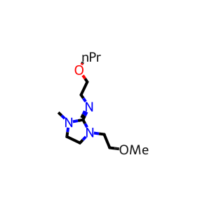 CCCOCC/N=C1\N(C)CCN1CCOC